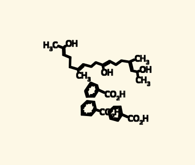 CC(O)=CCCC(C)=CCCC(O)=CCCC(C)=CC(C)O.O=C(O)c1ccccc1.O=C(O)c1ccccc1.O=C(O)c1ccccc1